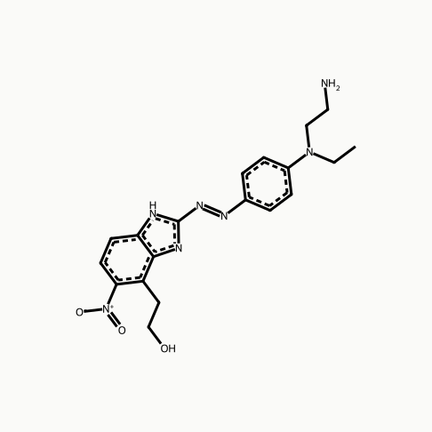 CCN(CCN)c1ccc(N=Nc2nc3c(CCO)c([N+](=O)[O-])ccc3[nH]2)cc1